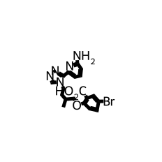 CC(CCn1cnnc1-c1cccc(N)n1)COc1ccc(Br)cc1C(=O)O